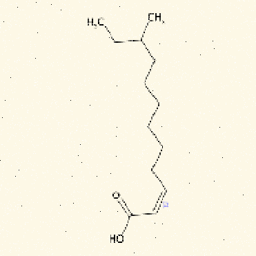 CCC(C)CCCCCC/C=C\C(=O)O